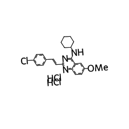 COc1ccc2nc(C=Cc3ccc(Cl)cc3)nc(NC3CCCCC3)c2c1.Cl.Cl